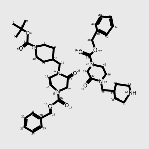 CC(C)(C)OC(=O)N1CCC(CN2CCN(C(=O)OCc3ccccc3)CC2=O)CC1.O=C1CN(C(=O)OCc2ccccc2)CCN1CC1CCNCC1